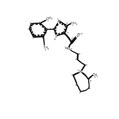 Cc1cccc(C)c1-c1nc(C)c(C(=O)NCCCN2CCCCC2C)s1